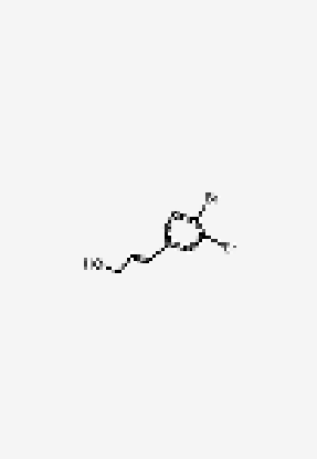 OCC=Cc1ccc(Br)c(Br)c1